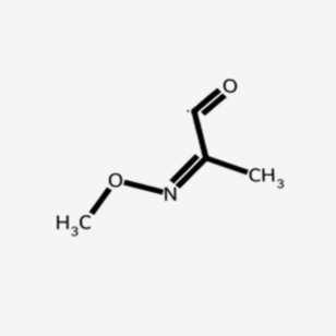 CON=C(C)[C]=O